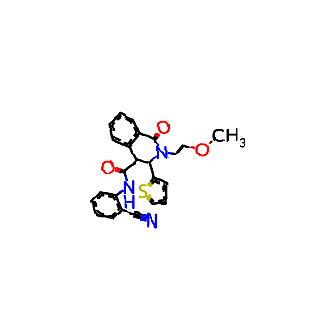 COCCN1C(=O)c2ccccc2C(C(=O)Nc2ccccc2C#N)C1c1cccs1